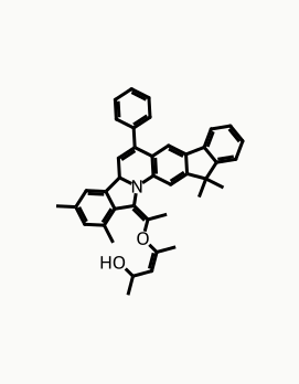 C/C(=C/C(C)O)O/C(C)=C1\c2c(C)cc(C)cc2C2C=C(c3ccccc3)c3cc4c(cc3N12)C(C)(C)c1ccccc1-4